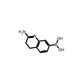 NC1=Nc2cc(B(O)O)ccc2CC1